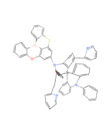 c1ccc(N2c3ccccc3[Si]3(c4ccccc42)c2cc(-c4ccccn4)ccc2N(c2cc4c5c(c2)Sc2ccccc2B5c2ccccc2O4)c2ccc(-c4ccccn4)cc23)cc1